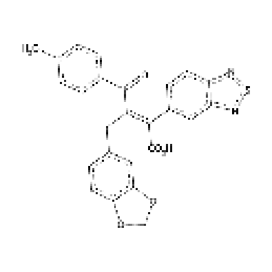 Cc1ccc(C(=O)C(Cc2ccc3c(c2)OCO3)=C(C(=O)O)c2ccc3nsnc3c2)cc1